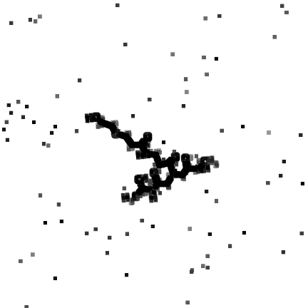 CNC(=O)CN(CC(=O)NC(C)C)C(=O)CCNC(=O)CCOCCO